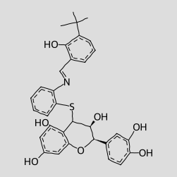 CC(C)(C)c1cccc(C=Nc2ccccc2SC2c3c(O)cc(O)cc3O[C@H](c3ccc(O)c(O)c3)[C@@H]2O)c1O